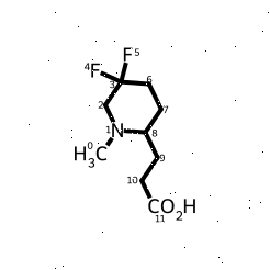 CN1CC(F)(F)CCC1CCC(=O)O